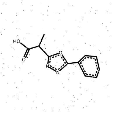 CC(C(=O)O)c1nnc(-c2ccccc2)o1